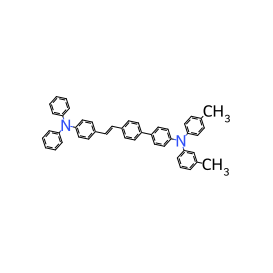 Cc1ccc(N(c2ccc(-c3ccc(/C=C/c4ccc(N(c5ccccc5)c5ccccc5)cc4)cc3)cc2)c2cccc(C)c2)cc1